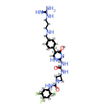 N=C(N)NCCCNCc1ccc(-c2c[nH]c(NC(=O)NC3CN(C(=O)Nc4cc(F)c(F)cc4F)C3)nc2=O)cc1